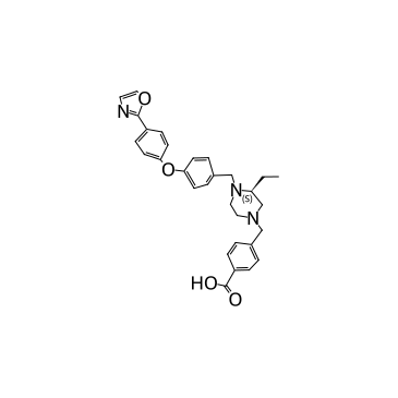 CC[C@H]1CN(Cc2ccc(C(=O)O)cc2)CCN1Cc1ccc(Oc2ccc(-c3ncco3)cc2)cc1